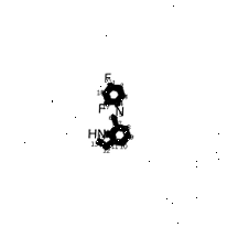 Fc1ccc(/N=C/c2cccc3cc[nH]c23)c(F)c1